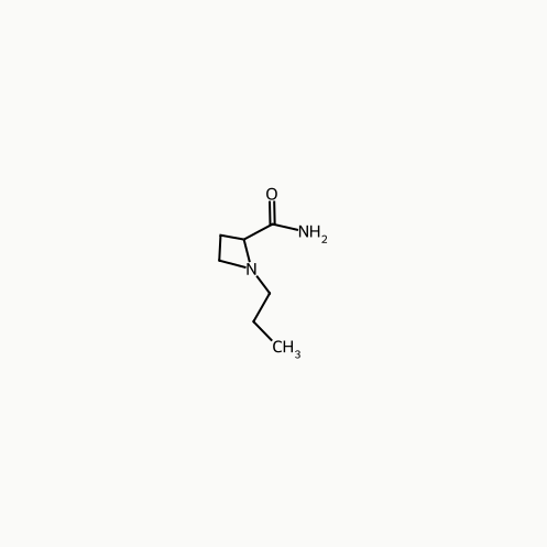 CCCN1CCC1C(N)=O